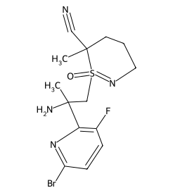 CC(N)(CS1(=O)=NCCCC1(C)C#N)c1nc(Br)ccc1F